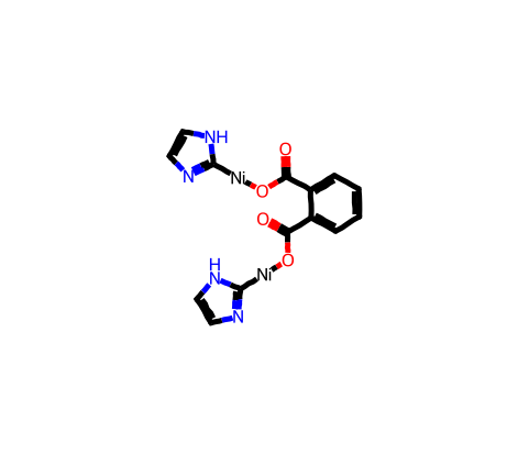 O=C([O][Ni][c]1ncc[nH]1)c1ccccc1C(=O)[O][Ni][c]1ncc[nH]1